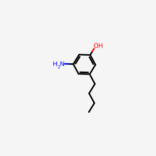 CCCCc1cc(N)cc(O)c1